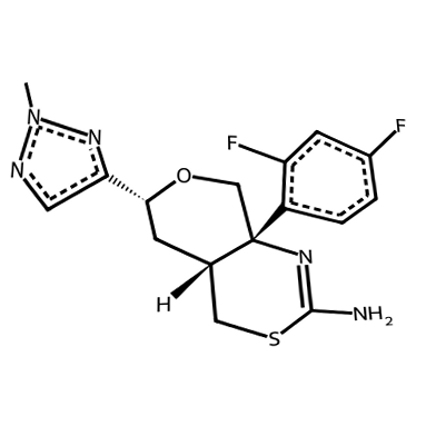 Cn1ncc([C@H]2C[C@H]3CSC(N)=N[C@@]3(c3ccc(F)cc3F)CO2)n1